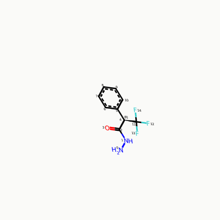 NNC(=O)[C@@H](c1ccccc1)C(F)(F)F